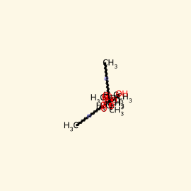 CCCCCCCC/C=C/CCCCCCCC(=O)OC[C@H]1OC(OC)C(OC(=O)CCCCCCC/C=C/CCCCCCCC)C(C(C)(C)OCCC(C)(C)O)C1C(C)(C)OCC